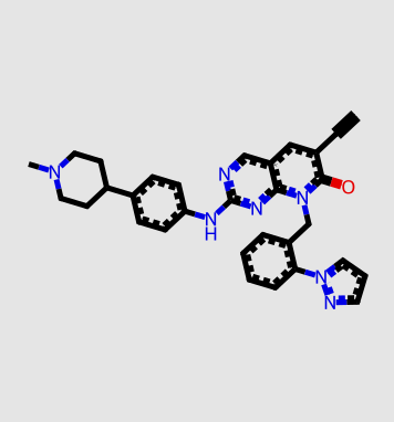 C#Cc1cc2cnc(Nc3ccc(C4CCN(C)CC4)cc3)nc2n(Cc2ccccc2-n2cccn2)c1=O